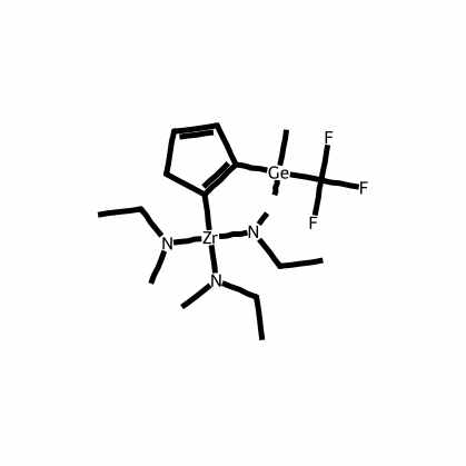 CC[N](C)[Zr]([C]1=[C]([Ge]([CH3])([CH3])[C](F)(F)F)C=CC1)([N](C)CC)[N](C)CC